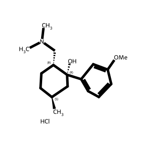 COc1cccc([C@@]2(O)C[C@@H](C)CC[C@@H]2CN(C)C)c1.Cl